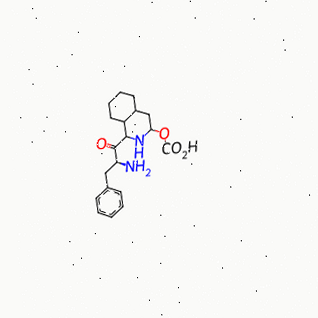 N[C@@H](Cc1ccccc1)C(=O)C1NC(OC(=O)O)CC2CCCCC21